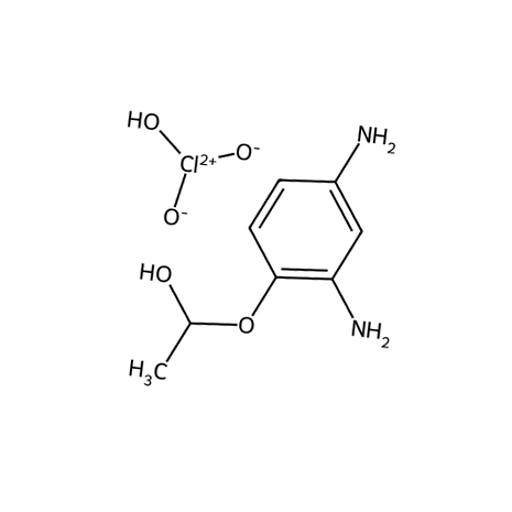 CC(O)Oc1ccc(N)cc1N.[O-][Cl+2]([O-])O